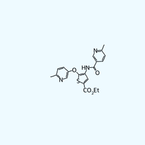 CCOC(=O)c1cc(NC(=O)c2ccc(C)nc2)c(Oc2ccc(C)nc2)s1